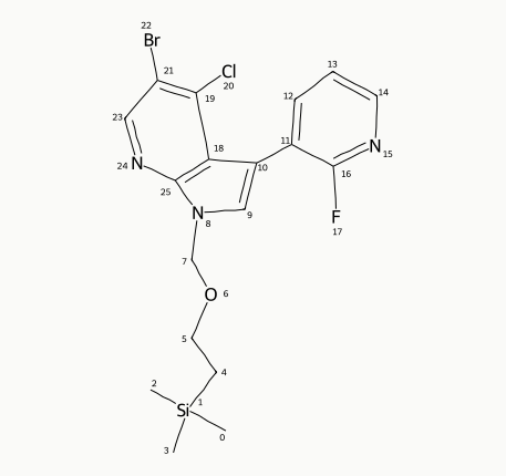 C[Si](C)(C)CCOCn1cc(-c2cccnc2F)c2c(Cl)c(Br)cnc21